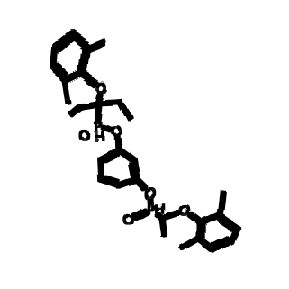 CCC(CC)(Oc1c(C)cccc1C)[PH](=O)Oc1cccc(O[PH](=O)C(C)Oc2c(C)cccc2C)c1